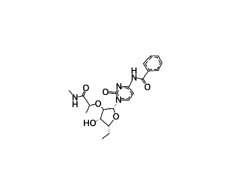 CC[C@H]1O[C@@H](n2ccc(NC(=O)c3ccccc3)nc2=O)C(OC(C)C(=O)NC)[C@H]1O